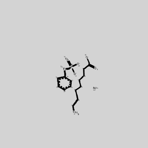 CCCCCCCCC(=O)[O-].O=P([O-])([O-])Oc1ccccc1.[Al+3]